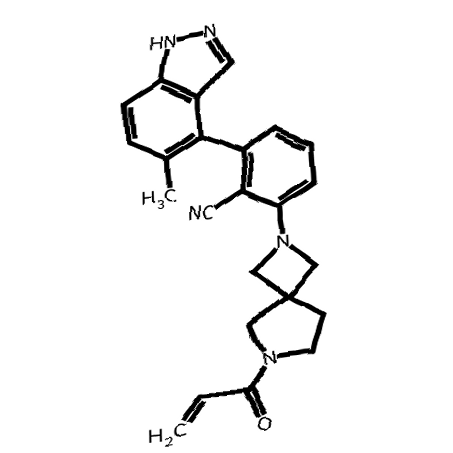 C=CC(=O)N1CCC2(C1)CN(c1cccc(-c3c(C)ccc4[nH]ncc34)c1C#N)C2